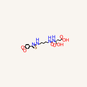 O=C(O)CC[C@H](NC(=O)NCCCCCNc1nc(-c2ccc3c(c2)OCO3)cs1)C(=O)O